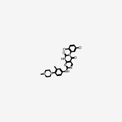 Cc1cc(Nc2ncc3c(=O)n(-c4cc(Cl)ccc4Cl)c(=O)[nH]c3n2)ccc1N1CCN(C)CC1